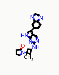 C[C@]1(N2CCCC2=O)C[C@H](Nc2ncc3c(-c4ccc5nccnc5c4)c[nH]c3n2)C1